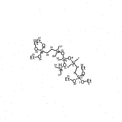 CCO[Si](CC[Si](C)(C)O[Si](C)(O[SiH](C)C)O[Si](C)(C)CC[Si](OCC)(OCC)OCC)(OCC)OCC